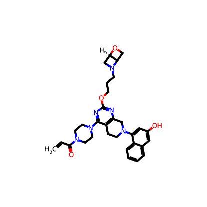 C=CC(=O)N1CCN(c2nc(OCCCN3C[C@H]4OCC43)nc3c2CCN(c2cc(O)cc4ccccc24)C3)CC1